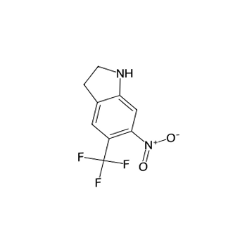 O=[N+]([O-])c1cc2c(cc1C(F)(F)F)CCN2